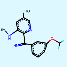 CC(C)Nc1cc(C=O)cnc1C(=N)c1cccc(OC(F)F)c1